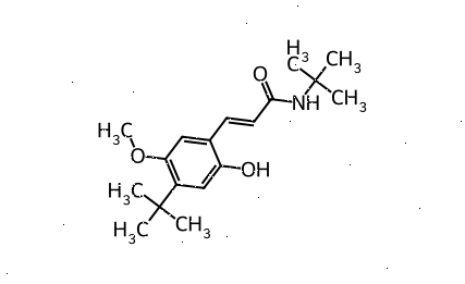 COc1cc(/C=C/C(=O)NC(C)(C)C)c(O)cc1C(C)(C)C